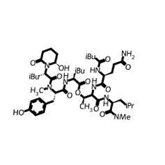 CCC(C)C(=O)N[C@@H](CCC(N)=O)C(=O)NC(C(=O)N[C@@H](CC(C)C)C(=O)NC)[C@@H](C)OC(=O)[C@@H](NC(=O)[C@H](Cc1ccc(O)cc1)N(C)C(=O)[C@H](C(C)CC)N1C(=O)CCC[C@@H]1O)C(C)CC